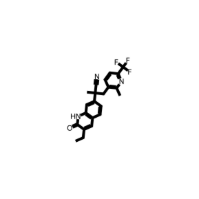 CCc1cc2ccc(C(C)(C#N)Cc3ccc(C(F)(F)F)nc3C)cc2[nH]c1=O